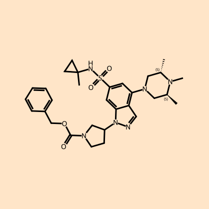 C[C@H]1CN(c2cc(S(=O)(=O)NC3(C)CC3)cc3c2cnn3C2CCN(C(=O)OCc3ccccc3)C2)C[C@H](C)N1C